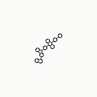 c1ccc(-c2ccc(-c3c4ccccc4c(-c4ccc(-n5c6ccccc6c6cc(-c7cccc8ccccc78)ccc65)cc4)c4ccccc34)cc2)cc1